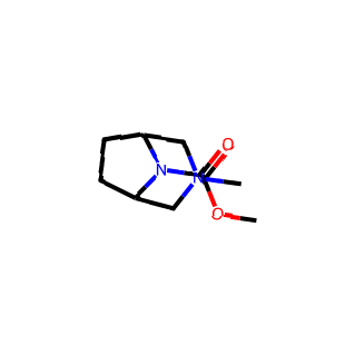 COC(=O)N1C2CCC1CN(C)C2